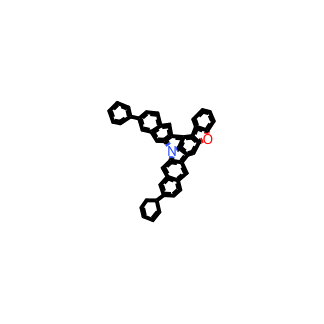 C1=CCC(c2ccc3cc4c5cc6oc7ccccc7c6c6c7cc8ccc(-c9ccccc9)cc8cc7n(c4cc3c2)c56)C=C1